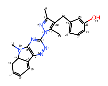 Cc1nn(-c2nnc3c(n2)N(C)C2CC=CC=C32)c(C)c1Cc1cccc(O)c1